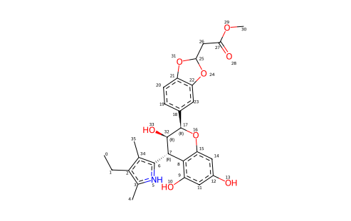 CCc1c(C)[nH]c([C@H]2c3c(O)cc(O)cc3O[C@H](c3ccc4c(c3)OC(CC(=O)OC)O4)[C@@H]2O)c1C